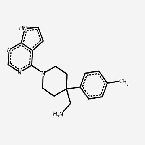 Cc1ccc(C2(CN)CCN(c3ncnc4[nH]ccc34)CC2)cc1